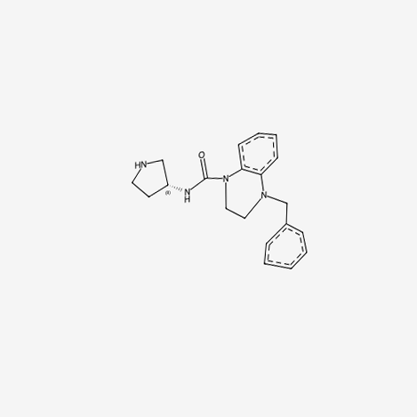 O=C(N[C@@H]1CCNC1)N1CCN(Cc2ccccc2)c2ccccc21